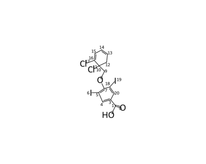 O=C(O)c1cc(I)c(OCC2(Cl)CC=CC=C2Cl)c(I)c1